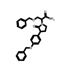 NC(=O)C(COCc1ccccc1)N1CCC(c2ccc(OCc3ccccc3)cc2)C1=O